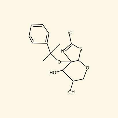 CCC1=NC2(OC(C)(C)c3ccccc3)C(OCC(O)C2O)S1